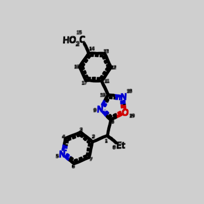 CCC(c1ccncc1)c1nc(-c2ccc(C(=O)O)cc2)no1